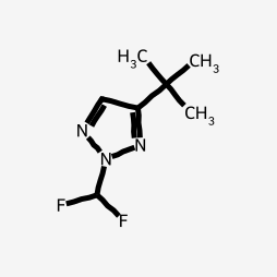 CC(C)(C)c1cnn(C(F)F)n1